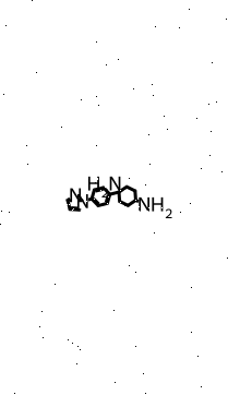 NC1CCC(N)(c2ccc(-n3cccn3)cc2)CC1